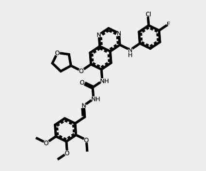 COc1ccc(/C=N/NC(=O)Nc2cc3c(Nc4ccc(F)c(Cl)c4)ncnc3cc2OC2CCOC2)c(OC)c1OC